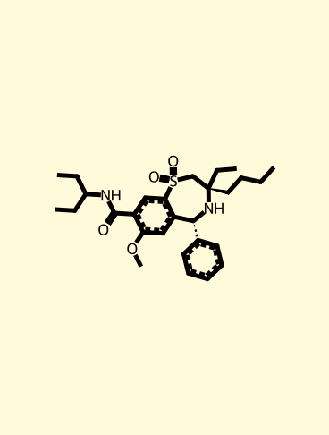 CCCC[C@]1(CC)CS(=O)(=O)c2cc(C(=O)NC(CC)CC)c(OC)cc2[C@@H](c2ccccc2)N1